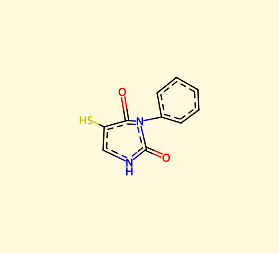 O=c1[nH]cc(S)c(=O)n1-c1ccccc1